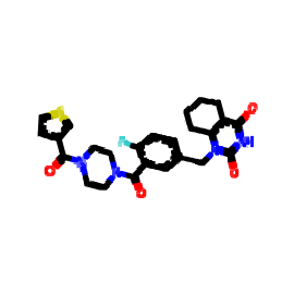 O=C(c1ccsc1)N1CCN(C(=O)c2cc(Cn3c4c(c(=O)[nH]c3=O)CCCC4)ccc2F)CC1